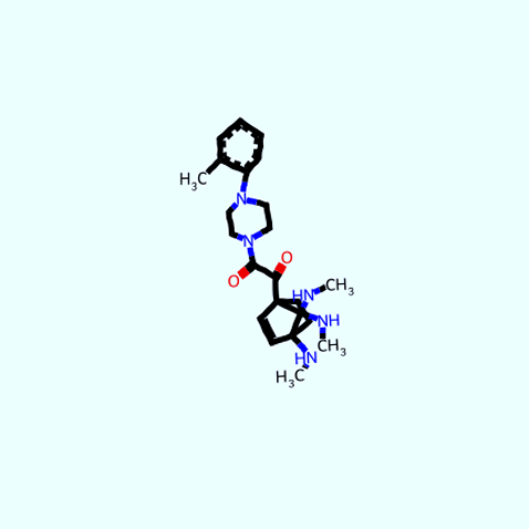 CNC12C=CC(C(=O)C(=O)N3CCN(c4ccccc4C)CC3)(CC1)C2(NC)NC